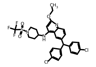 CCOc1cc(NC2CCN(S(=O)(=O)C(F)(F)F)CC2)c2cc(C(c3ccc(Cl)cc3)c3ccc(Cl)cc3)ccc2n1